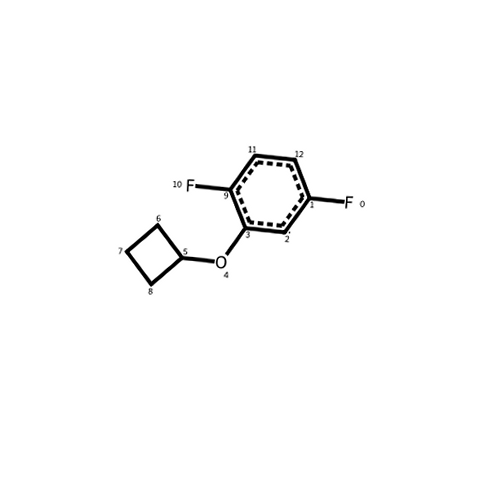 Fc1[c]c(OC2CCC2)c(F)cc1